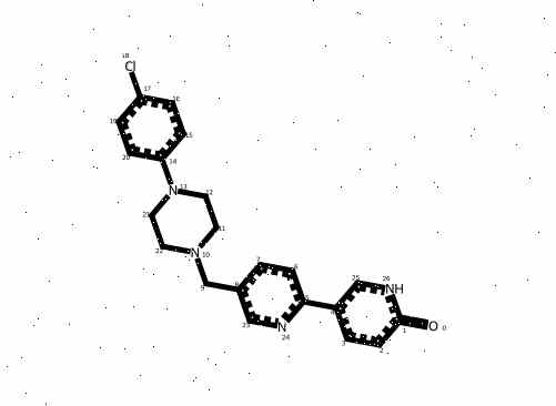 O=c1ccc(-c2ccc(CN3CCN(c4ccc(Cl)cc4)CC3)cn2)c[nH]1